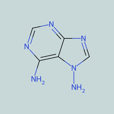 Nc1ncnc2ncn(N)c12